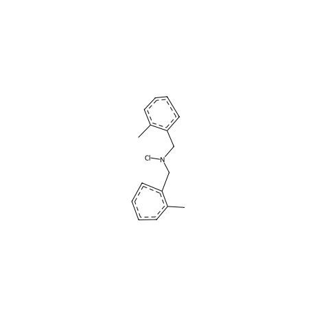 Cc1ccccc1CN(Cl)Cc1ccccc1C